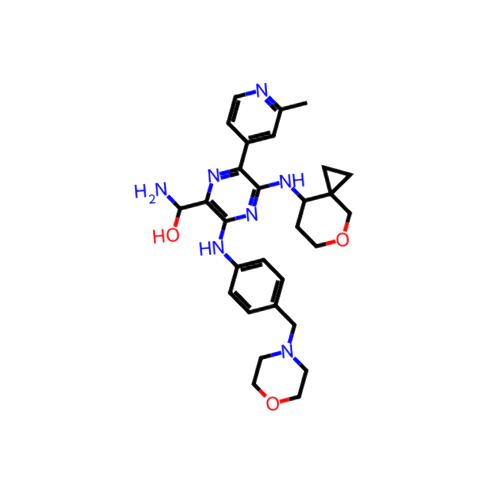 Cc1cc(-c2nc(C(N)O)c(Nc3ccc(CN4CCOCC4)cc3)nc2NC2CCOCC23CC3)ccn1